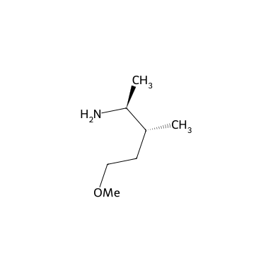 COCC[C@@H](C)[C@H](C)N